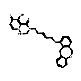 O=C1c2c(O)c(=O)ccn2NCN1CC/C=C/COc1cccc2c1Cc1ccccc1SC2